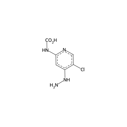 NNc1cc(NC(=O)O)ncc1Cl